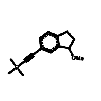 COC1CCc2ccc(C#C[Si](C)(C)C)cc21